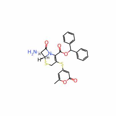 Cc1cc(SC2=C(C(=O)OC(c3ccccc3)c3ccccc3)N3C(=O)[C@@H](N)[C@H]3SC2)cc(=O)o1